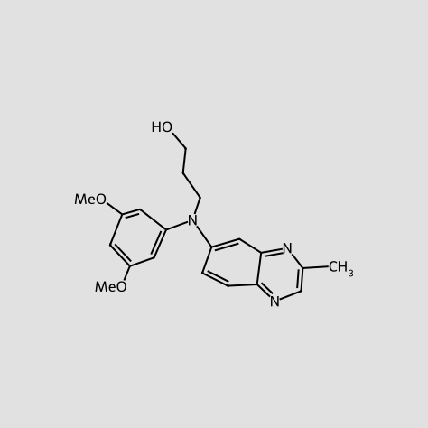 COc1cc(OC)cc(N(CCCO)c2ccc3ncc(C)nc3c2)c1